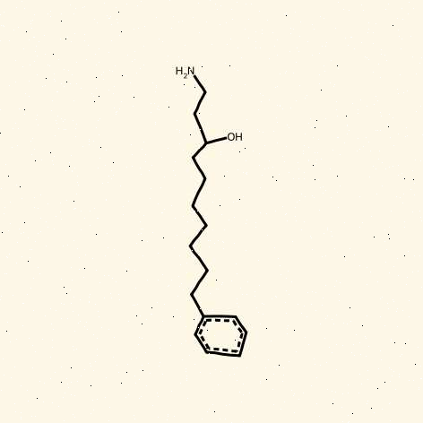 NCCC(O)CCCCCCCc1ccccc1